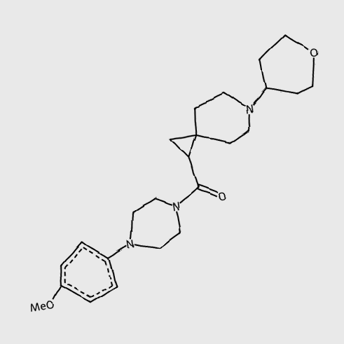 COc1ccc(N2CCN(C(=O)C3CC34CCN(C3CCOCC3)CC4)CC2)cc1